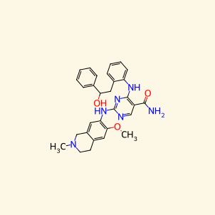 COc1cc2c(cc1Nc1ncc(C(N)=O)c(Nc3ccccc3CC(O)c3ccccc3)n1)CN(C)CC2